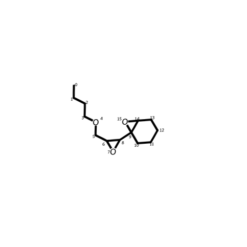 CCCCOCC1OC1C12CCCCC1O2